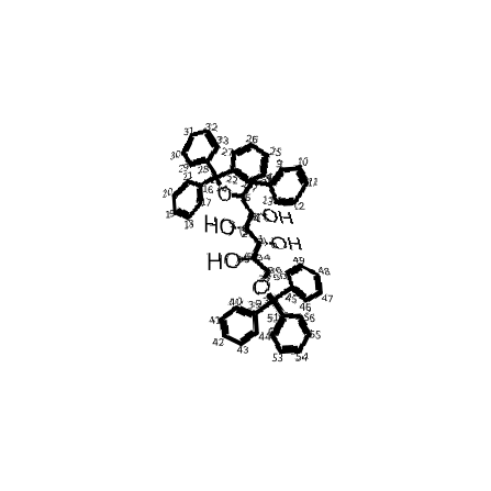 O[C@@H]([C@H](O)[C@@H](O)C(Cc1ccccc1)OC(c1ccccc1)(c1ccccc1)c1ccccc1)[C@H](O)COC(c1ccccc1)(c1ccccc1)c1ccccc1